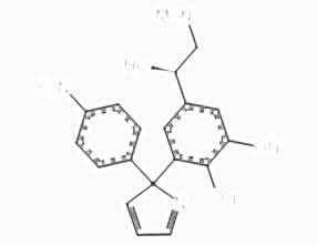 CNC[C@H](O)c1cc(O)c(O)c(C2(c3ccc([N+](=O)[O-])cc3)C=CC=N2)c1